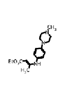 CCOC(=O)C=C(C)Nc1ccc(N2CCN(C)CC2)cc1